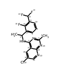 Cc1nc(NC(C)c2cccc(C(F)F)c2F)c2cc(Cl)cnc2n1